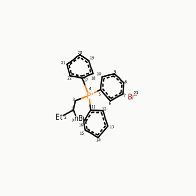 CCCCC(CC)C[P+](c1ccccc1)(c1ccccc1)c1ccccc1.[Br-]